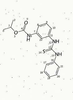 CC(C)OC(=O)Nc1cccc(NC(=S)Nc2ccccc2)c1